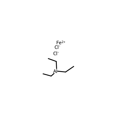 C[CH2][Al]([CH2]C)[CH2]C.[Cl-].[Cl-].[Fe+2]